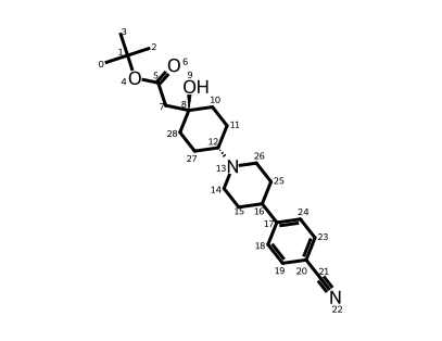 CC(C)(C)OC(=O)C[C@]1(O)CC[C@H](N2CCC(c3ccc(C#N)cc3)CC2)CC1